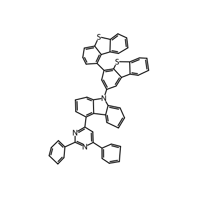 c1ccc(-c2cc(-c3cccc4c3c3ccccc3n4-c3cc(-c4cccc5sc6ccccc6c45)c4sc5ccccc5c4c3)nc(-c3ccccc3)n2)cc1